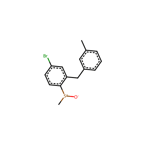 Cc1cccc(Cc2cc(Br)ccc2[S+](C)[O-])c1